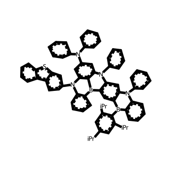 CC(C)c1cc(C(C)C)c(B2c3ccccc3N(c3ccccc3)c3cc4c(cc32)B2c3ccccc3N(c3ccc5c(c3)sc3ccccc35)c3cc(N(c5ccccc5)c5ccccc5)cc(c32)N4c2ccccc2)c(C(C)C)c1